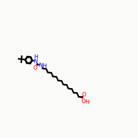 CC(C)(C)c1ccc(NC(=O)NCCCCCCCCCCCCCCCC(=O)O)cc1